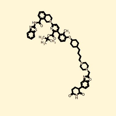 Cc1c(OC2CCC(CCCCN3CCN(Cc4nc5cc(C6CCC(=O)NC6=O)ccc5o4)CC3)CC2)cccc1-c1ccc(N2CCc3cccc(C(=O)Nc4nc5ccccc5s4)c3C2)nc1C(=O)OC(C)(C)C